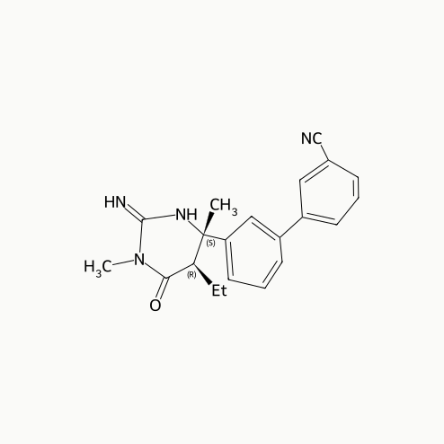 CC[C@H]1C(=O)N(C)C(=N)N[C@]1(C)c1cccc(-c2cccc(C#N)c2)c1